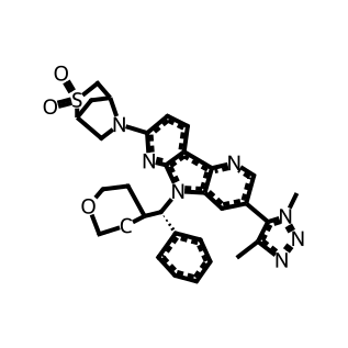 Cc1nnn(C)c1-c1cnc2c3ccc(N4CC5CC4CS5(=O)=O)nc3n([C@H](c3ccccc3)C3CCOCC3)c2c1